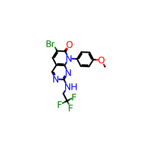 COc1ccc(-n2c(=O)c(Br)cc3cnc(NCC(F)(F)F)nc32)cc1